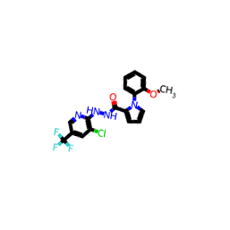 COc1ccccc1-n1cccc1C(=O)NNc1ncc(C(F)(F)F)cc1Cl